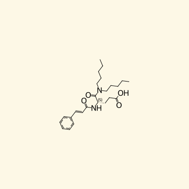 CCCCCN(CCCCC)C(=O)[C@H](CCC(=O)O)NC(=O)C=Cc1ccccc1